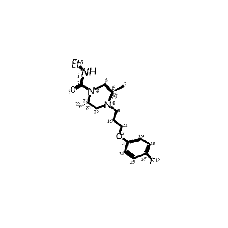 CCNC(=O)N1C[C@@H](C)N(CCCOc2ccc(F)cc2)C[C@@H]1C